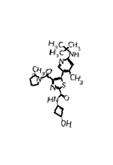 Cc1cc(NC(C)(C)C)ncc1-c1sc(C(=O)N[C@H]2C[C@@H](O)C2)nc1C(=O)N1CCC[C@@H]1C